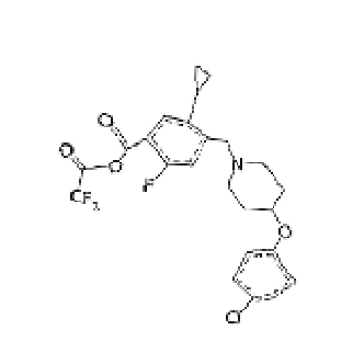 O=C(OC(=O)C(F)(F)F)c1cc(C2CC2)c(CN2CCC(Oc3ccc(Cl)cc3)CC2)cc1F